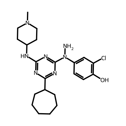 CN1CCC(Nc2nc(C3CCCCCC3)nc(N(N)c3ccc(O)c(Cl)c3)n2)CC1